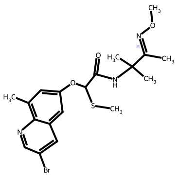 CO/N=C(\C)C(C)(C)NC(=O)C(Oc1cc(C)c2ncc(Br)cc2c1)SC